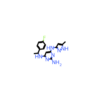 Cc1cc(Nc2cc(NC(C)c3ccc(F)cc3)nc(N)n2)n[nH]1